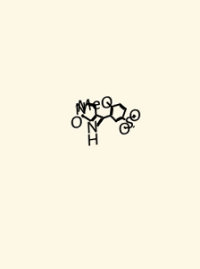 COc1ccc(S(C)(=O)=O)cc1-c1c[nH]c2c(=O)n(C)ccc12